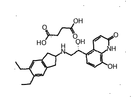 CCc1cc2c(cc1CC)CC(NC[C@H](O)c1ccc(O)c3[nH]c(=O)ccc13)C2.O=C(O)CCC(=O)O